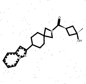 C[C@]1(O)C[C@@H](C(=O)N2CC3(CCC(c4cc5ccccn5n4)CC3)C2)C1